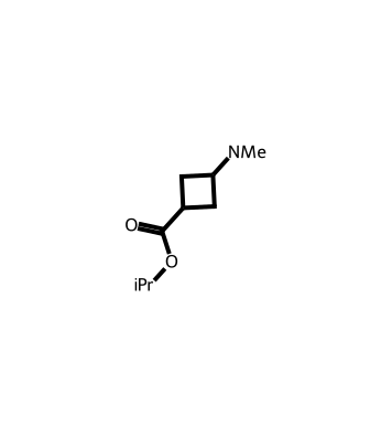 CNC1CC(C(=O)OC(C)C)C1